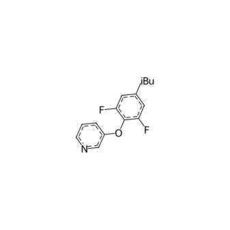 CCC(C)c1cc(F)c(Oc2cccnc2)c(F)c1